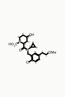 COCCc1ccc(Cl)c(CN(C(=O)C2CC(O)CCN2C(=O)O)C2CC2)c1